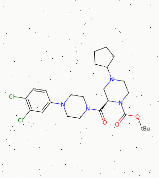 CC(C)(C)OC(=O)N1CCN(C2CCCC2)C[C@@H]1C(=O)N1CCN(c2ccc(Cl)c(Cl)c2)CC1